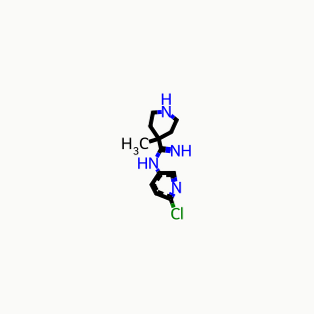 CC1(C(=N)Nc2ccc(Cl)nc2)CCNCC1